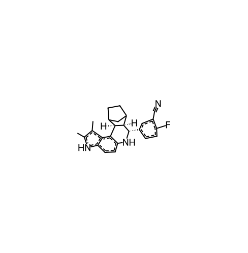 Cc1[nH]c2ccc3c(c2c1C)[C@H]1C2CCC(C2)[C@H]1[C@H](c1ccc(F)c(C#N)c1)N3